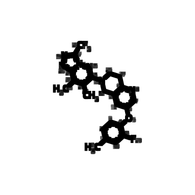 Cc1ccc(Oc2cnc3c(c2)CN(c2nn4c(C(F)(F)F)nnc4c(C)c2C)CC3)c(F)c1